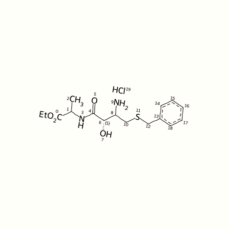 CCOC(=O)C(C)NC(=O)[C@@H](O)C(N)CSCc1ccccc1.Cl